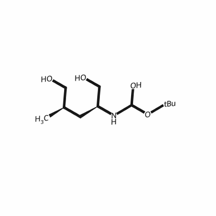 C[C@@H](CO)C[C@@H](CO)NC(O)OC(C)(C)C